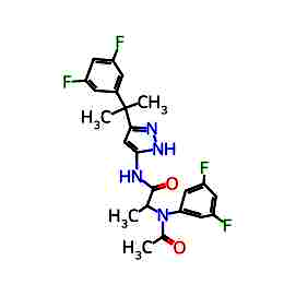 CC(=O)N(c1cc(F)cc(F)c1)C(C)C(=O)Nc1cc(C(C)(C)c2cc(F)cc(F)c2)n[nH]1